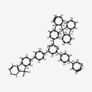 CC1(C)C2=C(C=CCC2)c2ccc(-c3ccc(-c4cc(-c5ccc(-c6cc#cnc6)cc5)nc(-c5ccc6c(c5)C5(c7ccc#cc7-6)c6ccccc6-c6ccccc65)n4)cc3)cc21